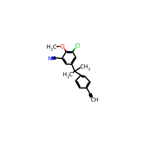 C#Cc1ccc(C(C)(C)c2cc(Cl)c(OC)c(C#N)c2)cc1